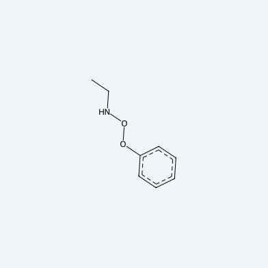 CCNOOc1ccccc1